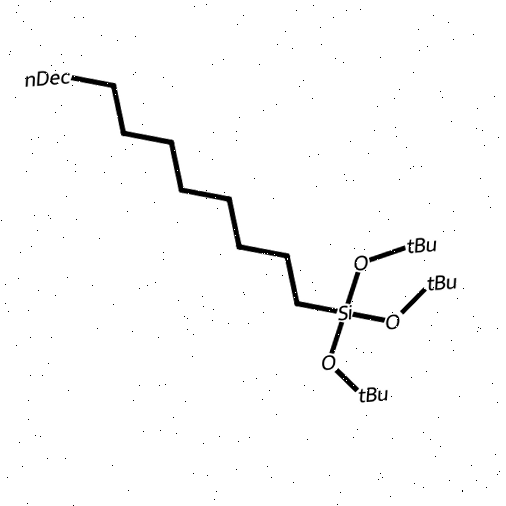 CCCCCCCCCCCCCCCCCC[Si](OC(C)(C)C)(OC(C)(C)C)OC(C)(C)C